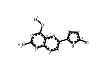 CCOc1nc(N)nc2ncc(-c3ccc(Cl)s3)nc12